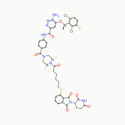 C[C@@H]1CN(C(=O)c2ccc(NC(=O)c3cc(O[C@H](C)c4c(Cl)ccc(F)c4Cl)c(N)nn3)cc2)C[C@H](C)N1C(=O)CCCCCSc1cccc2c1C(=O)N(C1CCC(=O)NC1=O)C2=O